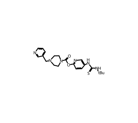 CC(C)(C)NC(=S)Nc1ccc(OC(=O)N2CCN(Cc3cccnc3)CC2)nc1